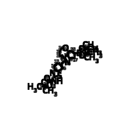 CC(C)(C)OC(=O)Nc1nc2ccc(-c3nc4cc(B5OC(C)(C)C(C)(C)O5)cc5c4n3CCCO5)cc2s1